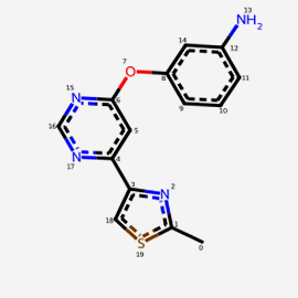 Cc1nc(-c2cc(Oc3cccc(N)c3)ncn2)cs1